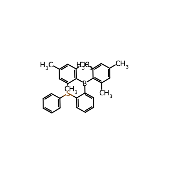 Cc1cc(C)c(B(c2ccccc2Sc2ccccc2)c2c(C)cc(C)cc2C)c(C)c1